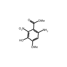 COC(=O)c1c(N)cc(OC)c(O)c1[N+](=O)[O-]